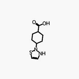 O=C(O)C1CCC(N2NC=CS2)CC1